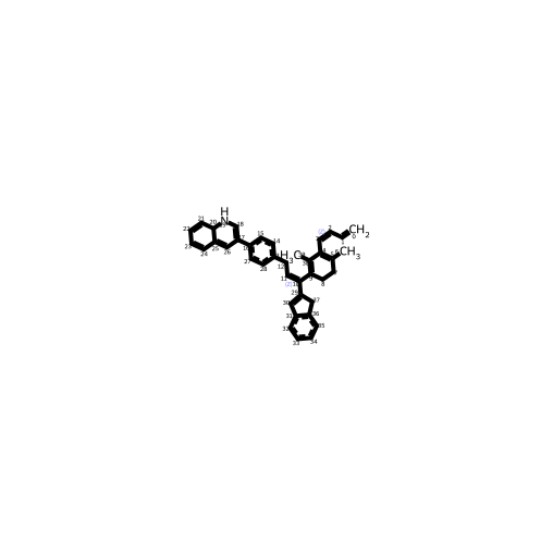 C=C/C=C\C1=C(C)CCC(/C(=C\Cc2ccc(C3=CNC4C=CC=CC4=C3)cc2)C2=Cc3ccccc3C2)=C1C